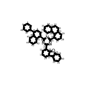 c1ccc(-c2ccc(-c3nc(-c4cccc5c4oc4ccccc45)nc(-c4cccc5ccc6ccccc6c45)n3)c3ccccc23)cc1